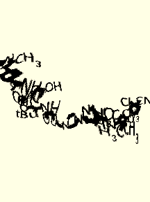 Cc1ncsc1-c1ccc([C@H](CO)NC(=O)[C@@H]2C[C@@H](O)CN2C(=O)C(NC(=O)COCCN2CCN(c3ccc(C(=O)NC4C(C)(C)C(Oc5ccc(C#N)c(Cl)c5)C4(C)C)cn3)CC2)C(C)(C)C)cc1